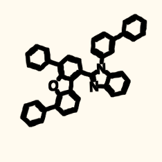 c1ccc(-c2cccc(-n3c(-c4ccc(-c5ccccc5)c5oc6c(-c7ccccc7)cccc6c45)nc4ccccc43)c2)cc1